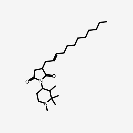 CCCCCCCCCC=CCC1CC(=O)N(C2CCN(C)C(C)(C)C2C)C1=O